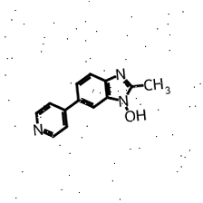 Cc1nc2ccc(-c3ccncc3)cc2n1O